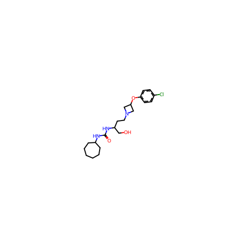 O=C(NC(CO)CCN1CC(Oc2ccc(Cl)cc2)C1)NC1CCCCCC1